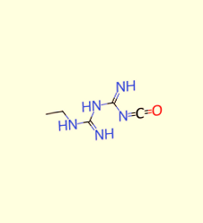 CCNC(=N)NC(=N)N=C=O